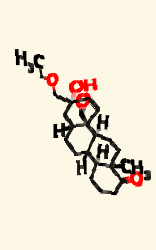 CCOC[C@@]1(O)CC[C@@]2(C=O)[C@H](CC[C@@H]3[C@@H]2CC[C@]2(C)C(=O)CCC[C@@H]32)C1